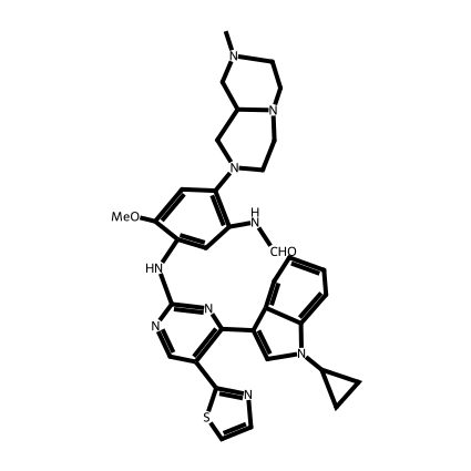 COc1cc(N2CCN3CCN(C)CC3C2)c(NC=O)cc1Nc1ncc(-c2nccs2)c(-c2cn(C3CC3)c3ccccc23)n1